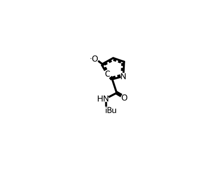 CCC(C)NC(=O)c1cc([O])ccn1